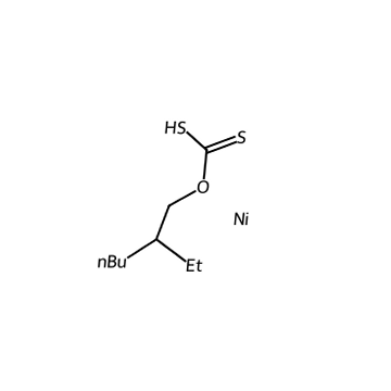 CCCCC(CC)COC(=S)S.[Ni]